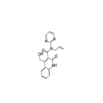 C=CCN(C(=O)c1c(CO)c2ccccc2[nH]c1=O)c1ncccn1